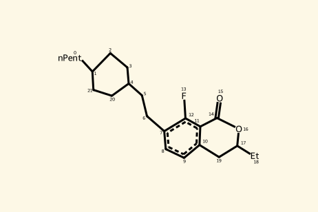 CCCCCC1CCC(CCc2ccc3c(c2F)C(=O)OC(CC)C3)CC1